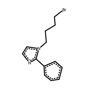 BrCCCCn1ccnc1-c1ccccc1